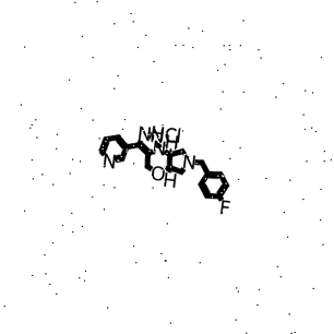 Cl.Fc1ccc(CN2C[C@@H]3OCc4c(-c5cccnc5)nnn4[C@H]3C2)cc1